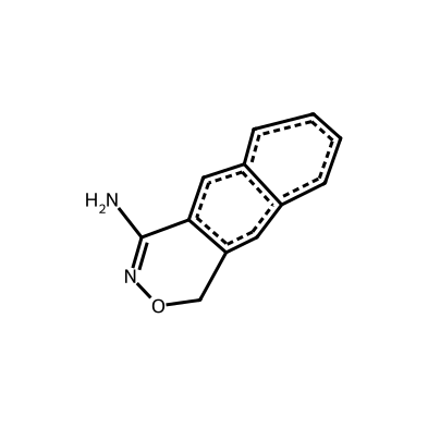 NC1=NOCc2cc3ccccc3cc21